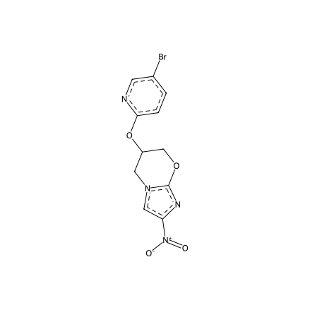 O=[N+]([O-])c1cn2c(n1)OCC(Oc1ccc(Br)cn1)C2